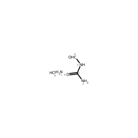 Cl.N.NC(=O)NC=O